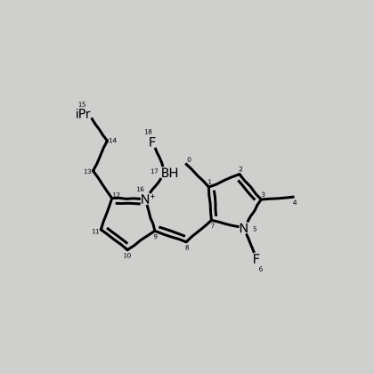 Cc1cc(C)n(F)c1/C=C1/C=CC(CCC(C)C)=[N+]1BF